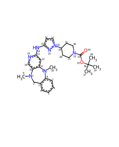 CN1Cc2ccccc2N(C)c2cc(Nc3ccn(C4CCN(C(=O)OC(C)(C)C)CC4)n3)ncc21